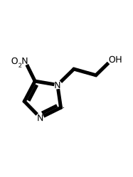 O=[N+]([O-])c1cn[c]n1CCO